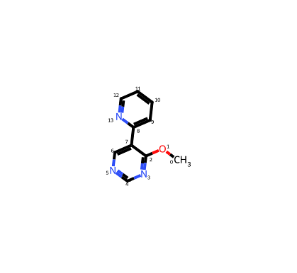 COc1n[c]ncc1-c1ccccn1